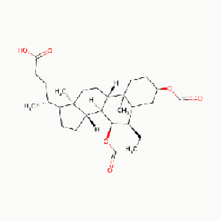 CC[C@@H]1C2C[C@H](OC=O)CCC2(C)[C@H]2CC[C@]3(C)C([C@H](C)CCC(=O)O)CC[C@H]3[C@@H]2[C@@H]1OC=O